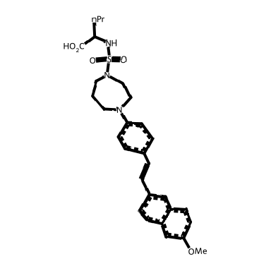 CCCC(NS(=O)(=O)N1CCCN(c2ccc(C=Cc3ccc4cc(OC)ccc4c3)cc2)CC1)C(=O)O